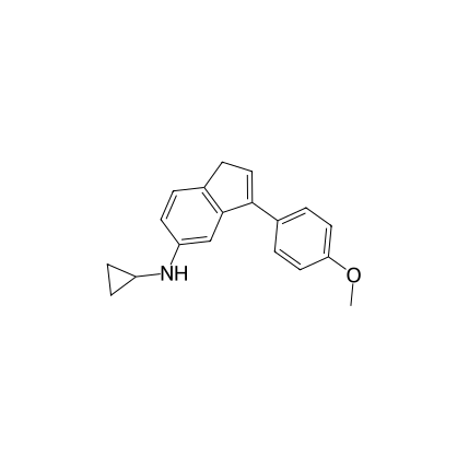 COc1ccc(C2=CCc3ccc(NC4CC4)cc32)cc1